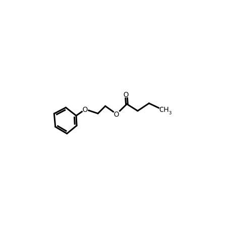 CCCC(=O)OCCOc1ccccc1